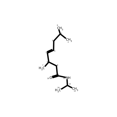 CC(C)C/C=C/C(C)CC(=O)NC(C)C